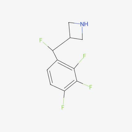 Fc1ccc(C(F)C2CNC2)c(F)c1F